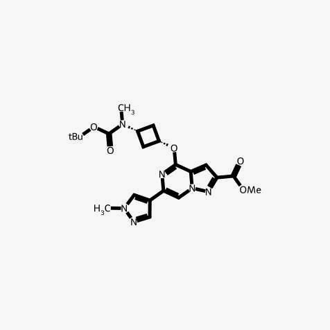 COC(=O)c1cc2c(O[C@H]3C[C@@H](N(C)C(=O)OC(C)(C)C)C3)nc(-c3cnn(C)c3)cn2n1